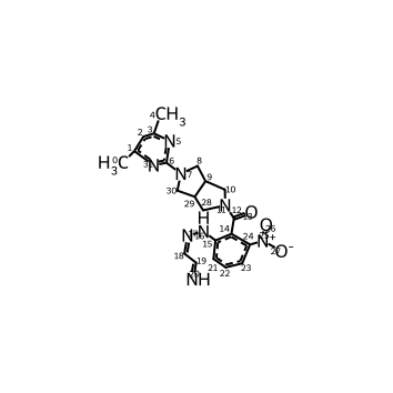 Cc1cc(C)nc(N2CC3CN(C(=O)c4c(N/N=C\C=N)cccc4[N+](=O)[O-])CC3C2)n1